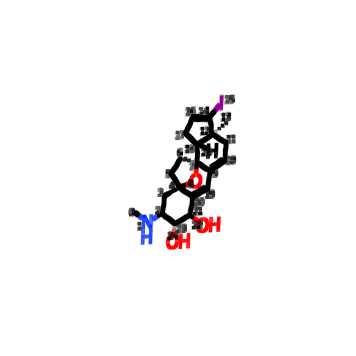 CN[C@H]1C[C@@]23CC[C@@]4(O2)C(=CC[C@]2(C)C(I)=CC[C@H]24)C=C3[C@@H](O)[C@@H]1O